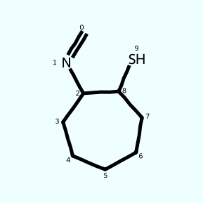 C=NC1CCCCCC1S